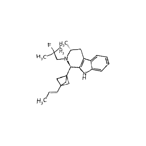 C/C=C/C12CC([C@@H]3c4[nH]c5ccccc5c4C[C@@H](C)N3CC(C)(C)F)(C1)C2